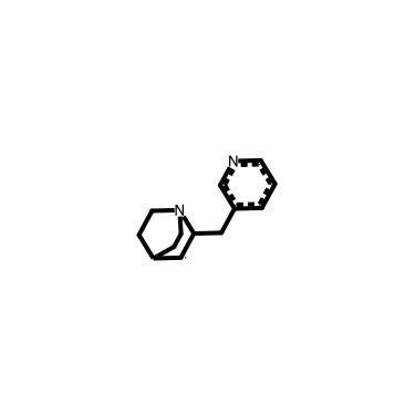 [CH]1C2CCN(CC2)C1Cc1cccnc1